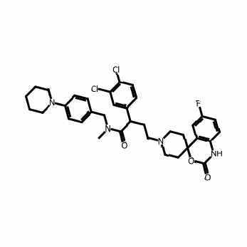 CN(Cc1ccc(N2CCCCC2)cc1)C(=O)C(CCN1CCC2(CC1)OC(=O)Nc1ccc(F)cc12)c1ccc(Cl)c(Cl)c1